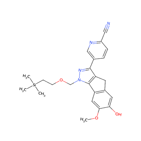 COc1cc2c(cc1O)Cc1c(-c3ccc(C#N)nc3)nn(COCC[Si](C)(C)C)c1-2